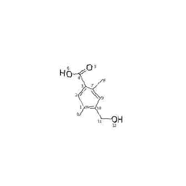 Cc1cc(C(=O)O)c(C)cc1CO